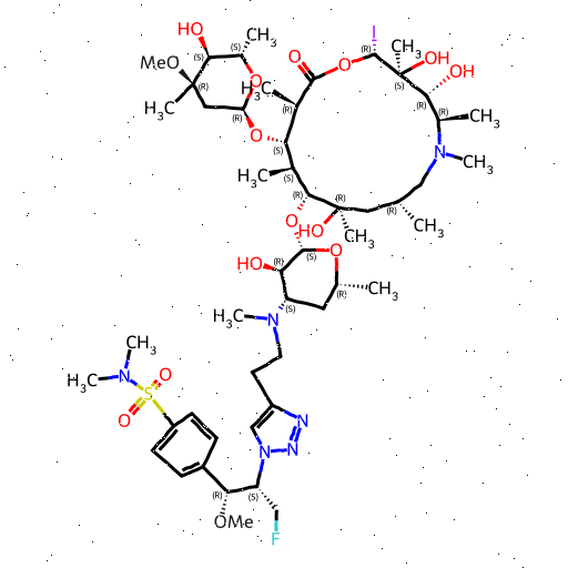 CO[C@H](c1ccc(S(=O)(=O)N(C)C)cc1)[C@@H](CF)n1cc(CCN(C)[C@H]2C[C@@H](C)O[C@@H](O[C@@H]3[C@@H](C)[C@H](O[C@H]4C[C@@](C)(OC)[C@@H](O)[C@H](C)O4)[C@@H](C)C(=O)O[C@H](I)[C@@](C)(O)[C@H](O)[C@@H](C)N(C)C[C@H](C)C[C@@]3(C)O)[C@@H]2O)nn1